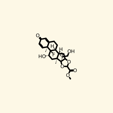 COC(=O)C1OC2C[C@H]3[C@@H]4CCC5=CC(=O)C=C[C@]5(C)[C@@]4(F)[C@@H](O)C[C@]3(C)[C@]2(C(=O)CO)O1